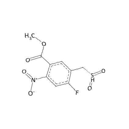 COC(=O)c1cc(C[SH](=O)=O)c(F)cc1[N+](=O)[O-]